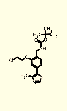 Cc1ncsc1-c1ccc(CNC(=O)OC(C)(C)C)c(OCCCl)c1